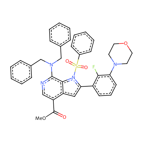 COC(=O)c1cnc(N(Cc2ccccc2)Cc2ccccc2)c2c1cc(-c1cccc(N3CCOCC3)c1F)n2S(=O)(=O)c1ccccc1